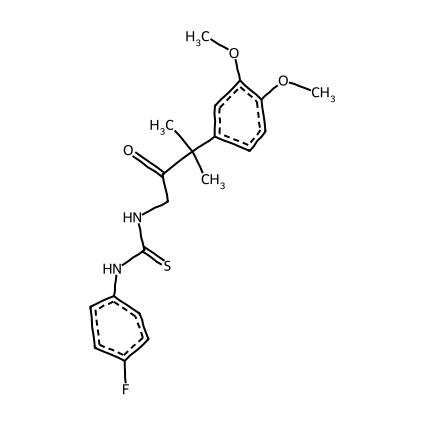 COc1ccc(C(C)(C)C(=O)CNC(=S)Nc2ccc(F)cc2)cc1OC